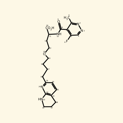 Cc1nncc(F)c1C(=O)NC(CCOCCCCc1ccc2c(n1)NCCC2)C(=O)O